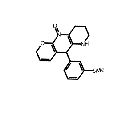 CSc1cccc(C2C3=C(OCC=C3)[N+](=O)C3=C2NCCC3)c1